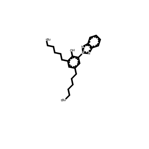 CC(C)(C)CCCCCc1cc(CCCCCC(C)(C)C)c(O)c(-n2nc3ccccc3n2)c1